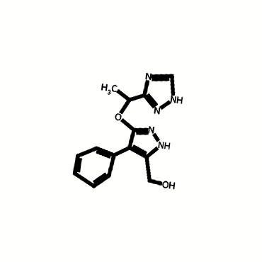 CC(Oc1n[nH]c(CO)c1-c1ccccc1)c1nc[nH]n1